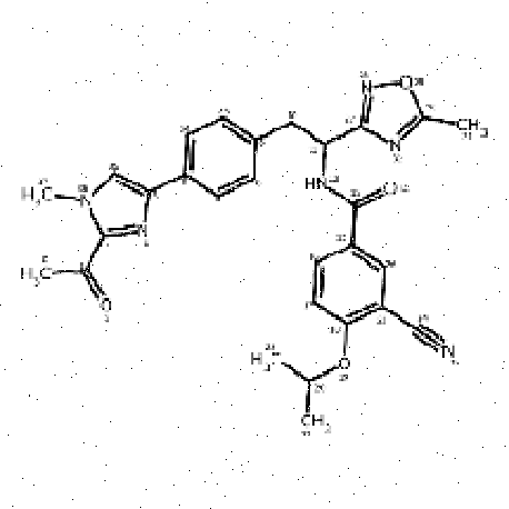 CC(=O)c1nc(-c2ccc(CC(NC(=O)c3ccc(OC(C)C)c(C#N)c3)c3noc(C)n3)cc2)cn1C